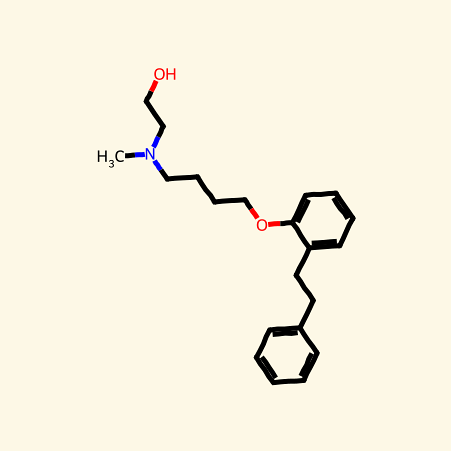 CN(CCO)CCCCOc1ccccc1CCc1ccccc1